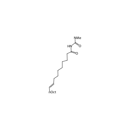 CCCCCCCCC=CCCCCCCCC(=O)NC(=O)NC